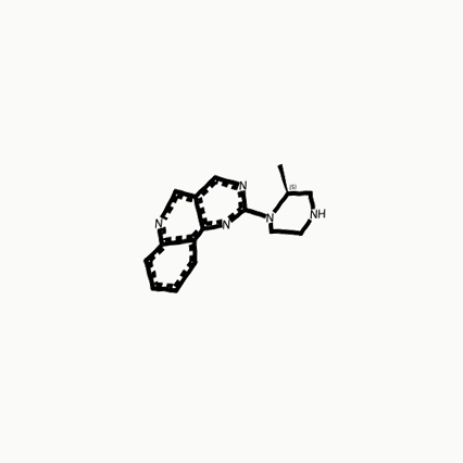 C[C@H]1CNCCN1c1ncc2cnc3ccccc3c2n1